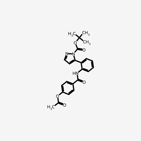 CC(=O)Oc1ccc(C(=O)Nc2ccccc2-c2ccnn2C(=O)OC(C)(C)C)cc1